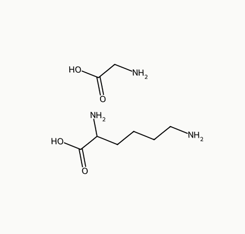 NCC(=O)O.NCCCCC(N)C(=O)O